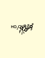 O=C(O)c1cncc(C2=C(c3cc(C(F)(F)F)ccc3OCc3c(F)cc(F)cc3F)CCC2)n1